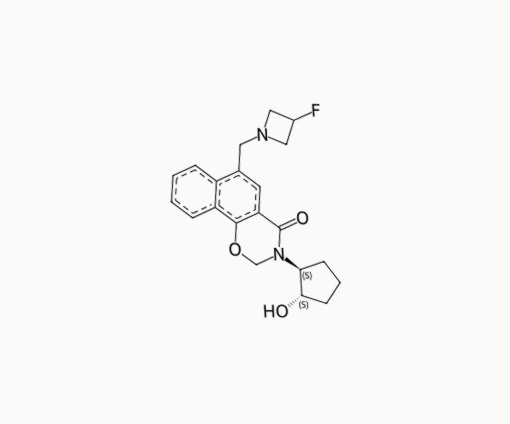 O=C1c2cc(CN3CC(F)C3)c3ccccc3c2OCN1[C@H]1CCC[C@@H]1O